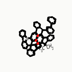 CC1(C)c2ccccc2-c2c(C(c3cccc(-c4ccccc4)c3)c3ccccc3-c3ccc4c(c3)-n3c5ccccc5c5cccc(c53)C43c4ccccc4-c4ccccc43)cccc21